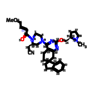 COC/C=C/C(=O)N1CCN(c2nc(OC[C@@H]3CCCN3C)nc3c2CCC2(CCc4ccccc42)C3)C[C@@H]1CC#N